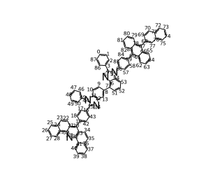 c1ccc(-c2nc3c(-c4ccc5c(c4)nc(-c4ccc(-c6c7ccc8ccccc8c7nc7c6ccc6ccccc67)cc4)n5-c4ccccc4)cccc3n2-c2ccc(-c3c4ccccc4c(-c4ccc5ccccc5c4)c4ccccc34)cc2)cc1